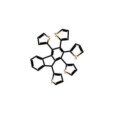 c1csc(-c2c(-c3cccs3)c(-c3cccs3)c3c(c2-c2cccs2)-c2ccccc2C3c2cccs2)c1